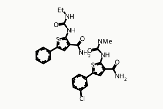 CCNC(=O)Nc1sc(-c2ccccc2)cc1C(N)=O.CNC(=O)Nc1sc(-c2cccc(Cl)c2)cc1C(N)=O